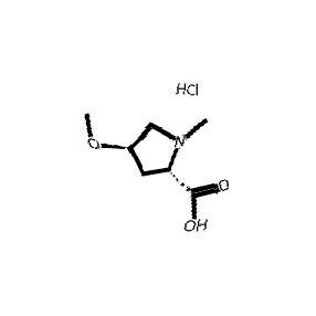 CO[C@@H]1C[C@@H](C(=O)O)N(C)C1.Cl